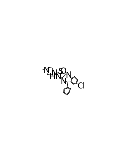 CN1CCN(C(=S)NC2N=C(c3ccccc3)c3cc(Cl)ccc3N(C)C2=O)CC1